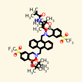 C=C(C)C(=O)NCCCN(Cc1cc(S(=O)(=O)C(F)(F)F)ccc1B1OC(C)(C)C(C)(C)O1)Cc1c2ccccc2c(CN(CCC(=O)O)Cc2cc(S(=O)(=O)C(F)(F)F)ccc2B2OC(C)(C)C(C)(C)O2)c2ccccc12